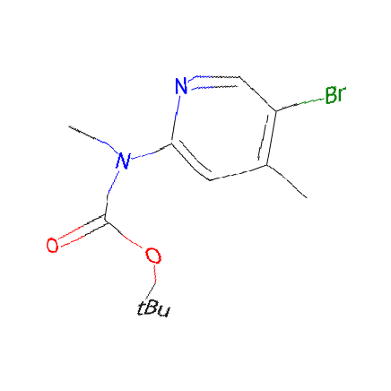 Cc1cc(N(C)C(=O)OC(C)(C)C)ncc1Br